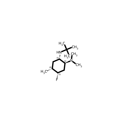 C[C@@H]1C[C@H](NC(C)(C)C)[C@@H](N(C)C)C[C@@H]1F